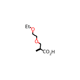 C=C(COCCOCC)C(=O)O